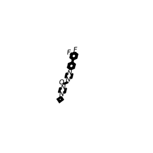 O=C(CN1CCN(c2ccc(-c3ccc(F)c(F)c3)cc2)CC1)N1CCN(C2CCC2)CC1